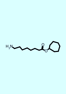 NCCCCCCCC(=O)OC1CCCCCC1